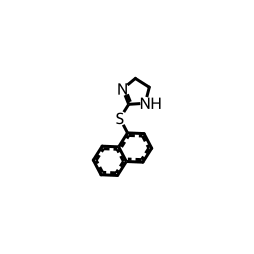 c1ccc2c(SC3=NCCN3)cccc2c1